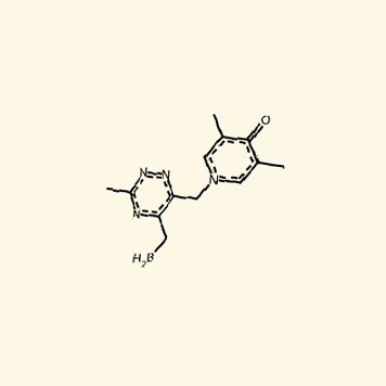 BCc1nc(C)nnc1Cn1cc(C)c(=O)c(C)c1